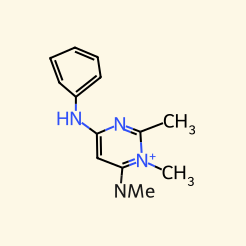 CNc1cc(Nc2ccccc2)nc(C)[n+]1C